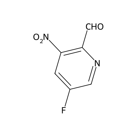 O=Cc1ncc(F)cc1[N+](=O)[O-]